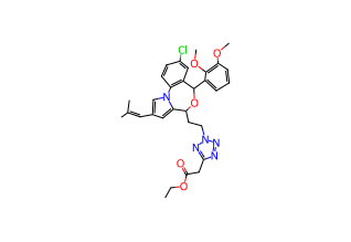 CCOC(=O)Cc1nnn(CCC2OC(c3cccc(OC)c3OC)c3cc(Cl)ccc3-n3cc(C=C(C)C)cc32)n1